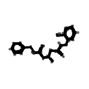 CN(CC(=O)OCc1ccccc1)CC(=O)OCc1ccccc1Br